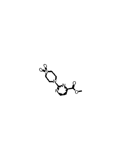 COC(=O)c1ccnc(N2CCS(=O)(=O)CC2)n1